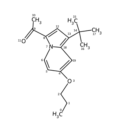 CCCOc1ccn2c(C(C)=O)cc(C(C)(C)C)c2c1